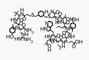 CCC[C@H](NC(=O)[C@H](Cc1c[nH]c2ncccc12)NC(=O)C[C@@H](C)O)C(=O)N[C@@H](CCC(=O)O)C(=O)N[C@@H](Cc1ccc(O)cc1)C(=O)N[C@@H](CCC)C(=O)N[C@H](C(=O)N[C@@H](CSCc1cccc(CSCCC(=O)N[C@H](C(=O)N[C@@H](Cc2ccc(O)cc2)C(=O)N[C@@H](CNC(=N)N)C(N)=O)C(C)(C)C)c1)C(N)=O)[C@@H](C)O